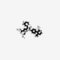 CCn1nc([C@@H](C(=O)Nc2ccc(-c3c(C(F)(F)F)ccnc3C)cc2)[C@H]2CCCC(F)(F)C2)cc1C(N)=O